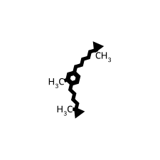 Cc1cc(CCCCCC2(C)CC2)ccc1CCCCC1(C)CC1